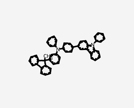 CC1(c2cccc(N(c3ccccc3)c3ccc(-c4ccc5c(c4)c4ccccc4n5-c4ccccc4)cc3)c2)c2ccccc2-c2ccccc21